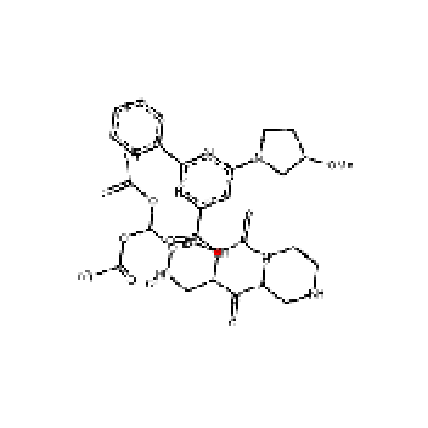 CCCCOC(=O)N1CCNCC1C(=O)C(C[PH](=O)OC(OC(=O)CCC)OC(=O)CCC)NC(=O)c1cc(N2CCC(OC)C2)nc(-c2ccccc2)n1